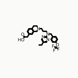 CCc1cnc(N(CCCN2CCc3ccc(CC(=O)O)cc3C2)Cc2ccc(OC(F)(F)F)cc2)nc1